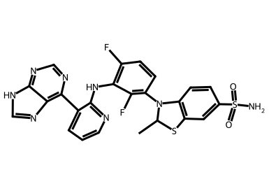 CC1Sc2cc(S(N)(=O)=O)ccc2N1c1ccc(F)c(Nc2ncccc2-c2ncnc3[nH]cnc23)c1F